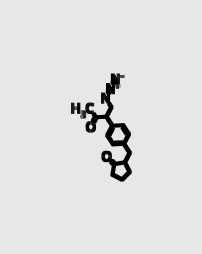 CC(=O)C(CN=[N+]=[N-])c1ccc(CC2CCCC2=O)cc1